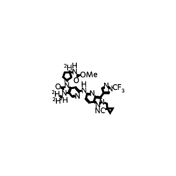 [2H]C1(NC(=O)OC)CC[C@@H](n2c(=O)n(C([2H])([2H])[2H])c3cnc(Nc4ccc5nn(CC6(C#N)CC6)c(-c6cnn(C(F)(F)F)c6)c5n4)cc32)C1